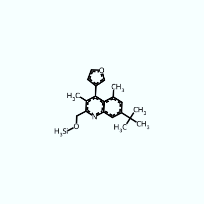 Cc1c(CO[SiH3])nc2cc(C(C)(C)C)cc(C)c2c1-c1ccoc1